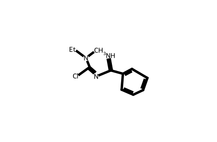 CCN(C)/C(Cl)=N\C(=N)c1ccccc1